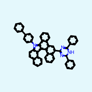 c1ccc(C2=NC(c3cc4c5ccccc5c5c(c4c4ccccc34)c3c4ccccc4ccc3n5-c3ccc(-c4ccccc4)cc3)=NC(c3ccccc3)N2)cc1